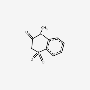 CN1C(=O)CS(=O)(=O)c2ccccc21